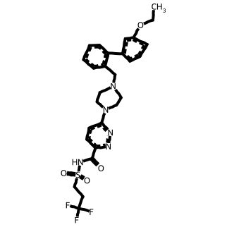 CCOc1cccc(-c2ccccc2CN2CCN(c3ccc(C(=O)NS(=O)(=O)CCC(F)(F)F)nn3)CC2)c1